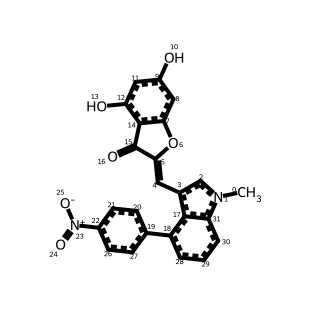 Cn1cc(/C=C2\Oc3cc(O)cc(O)c3C2=O)c2c(-c3ccc([N+](=O)[O-])cc3)cccc21